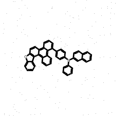 c1ccc(N(c2ccc(-c3cccc4c5ccc6oc7ccccc7c6c5c5ccccc5c34)cc2)c2ccc3ccccc3c2)cc1